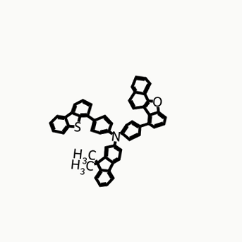 CC1(C)c2ccccc2-c2ccc(N(c3ccc(-c4cccc5c4sc4ccccc45)cc3)c3ccc(-c4cccc5oc6c7ccccc7ccc6c45)cc3)cc21